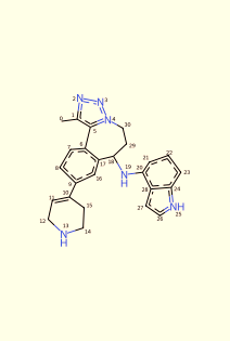 Cc1nnn2c1-c1ccc(C3=CCNCC3)cc1C(Nc1cccc3[nH]ccc13)CC2